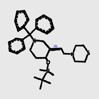 CC(C)(C)[Si](C)(C)OC1CCN(C(c2ccccc2)(c2ccccc2)c2ccccc2)C/C1=C/CN1CCSCC1